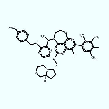 COc1ccc(CNc2nccnc2[C@@H](C)N2CCOc3nc(-c4cc(C)c(F)c(C)c4C(F)(F)F)c(F)c4nc(OC[C@@H]5CC[C@H]6COCCN65)nc2c34)cc1